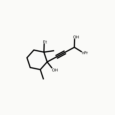 CCCC(O)C#CC1(O)C(C)CCCC1(C)CC